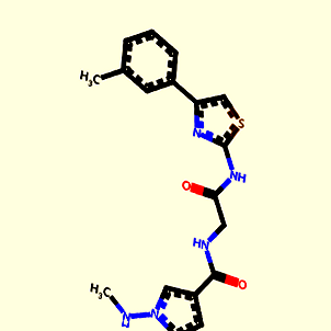 CNn1ccc(C(=O)NCC(=O)Nc2nc(-c3cccc(C)c3)cs2)c1